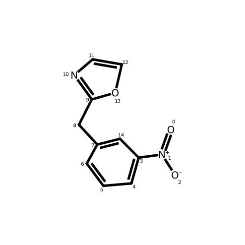 O=[N+]([O-])c1cccc(Cc2ncco2)c1